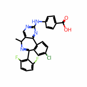 CC1N=C(c2c(F)cccc2F)c2cc(Cl)ccc2-c2nc(Nc3ccc(C(=O)O)cc3)ncc21